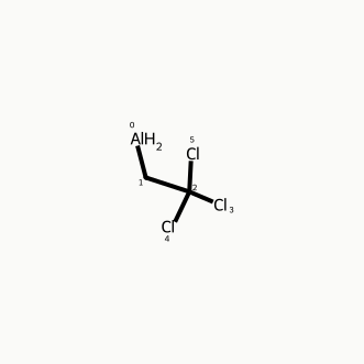 [AlH2][CH2]C(Cl)(Cl)Cl